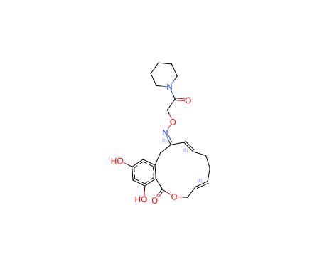 O=C1OC/C=C/CC/C=C/C(=N\OCC(=O)N2CCCCC2)Cc2cc(O)cc(O)c21